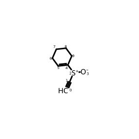 C#C[S+]([O-])C1=CCCCC1